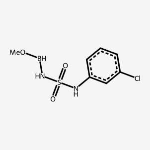 COBNS(=O)(=O)Nc1cccc(Cl)c1